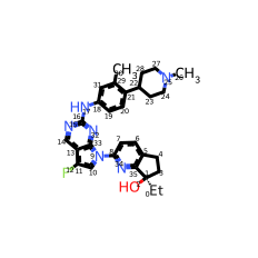 CC[C@@]1(O)CCc2ccc(-n3cc(F)c4cnc(Nc5ccc(C6CCN(C)CC6)c(C)c5)nc43)nc21